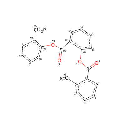 CC(=O)Oc1ccccc1C(=O)Oc1ccccc1C(=O)Oc1ccccc1C(=O)O